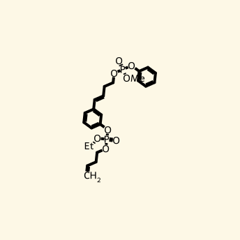 C=CCCOP(=O)(OCC)Oc1cccc(/C=C/CCOP(=O)(OC)Oc2ccccc2)c1